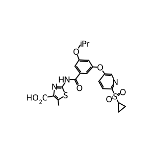 Cc1sc(NC(=O)c2cc(Oc3ccc(S(=O)(=O)C4CC4)nc3)cc(OC(C)C)c2)nc1C(=O)O